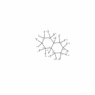 CC1(F)C(C)(F)C(F)(F)C2(F)C(F)(F)C(F)(F)C(F)(F)C(F)(F)C2(F)C1(F)F